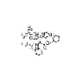 C[C@H](Cc1ccccc1)C(N[C@@H](Cc1c[nH]cn1)C(=O)OCc1ccccc1)C(=O)OC(C)(C)C